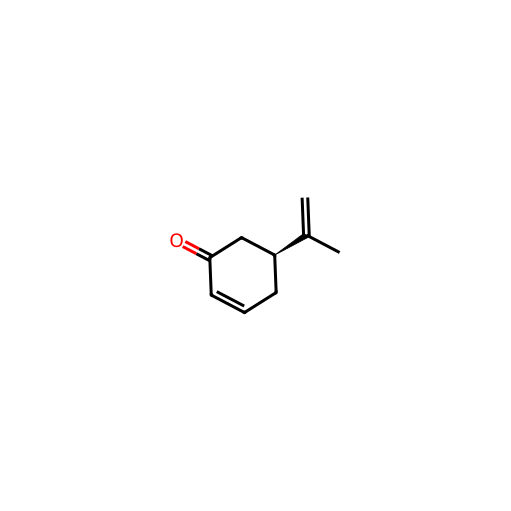 C=C(C)[C@H]1CC=CC(=O)C1